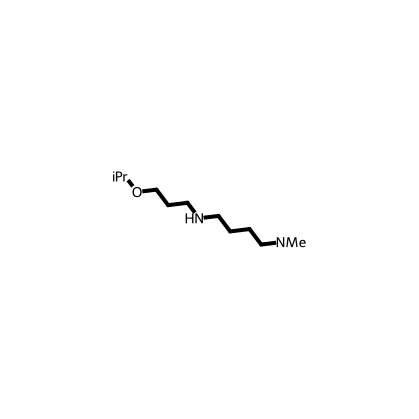 CNCCCCNCCCOC(C)C